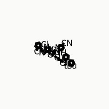 CC(C)(C)[Si](OCCOC[C@H](Oc1ncnc2c1cnn2-c1c(Cl)cccc1Cl)C(=O)Nc1ccc(C#N)cn1)(c1ccccc1)c1ccccc1